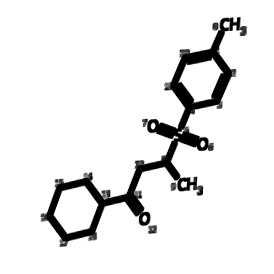 Cc1ccc(S(=O)(=O)C(C)CC(=O)C2CCCCC2)cc1